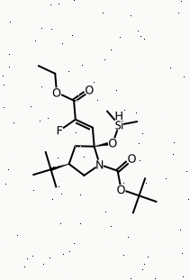 CCOC(=O)C(F)=C[C@@]1(O[SiH](C)C)C[C@H](C(C)(C)C)CN1C(=O)OC(C)(C)C